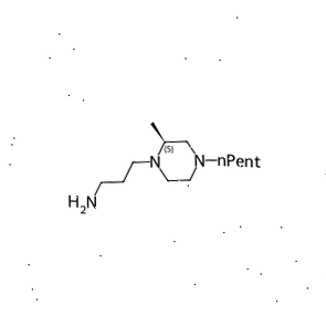 CCCCCN1CCN(CCCN)[C@@H](C)C1